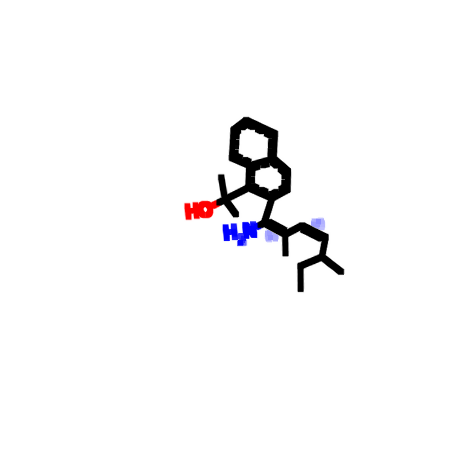 CCC(C)/C=C\C(C)=C(\N)c1ccc2ccccc2c1C(C)(C)O